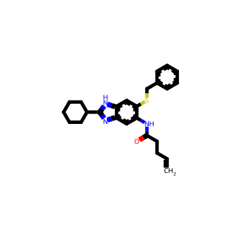 C=CCCC(=O)Nc1cc2nc(C3CCCCC3)[nH]c2cc1SCc1ccccc1